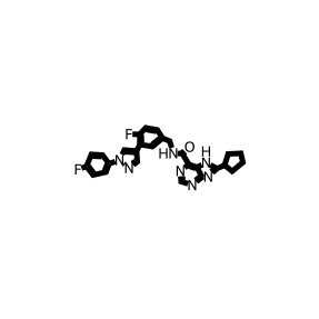 O=C(NCc1ccc(F)c(-c2cnn(-c3ccc(F)cc3)c2)c1)c1ncnc2nc(C3CCCC3)[nH]c12